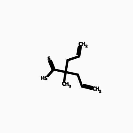 C=CCC(C)(CC=C)C(=S)S